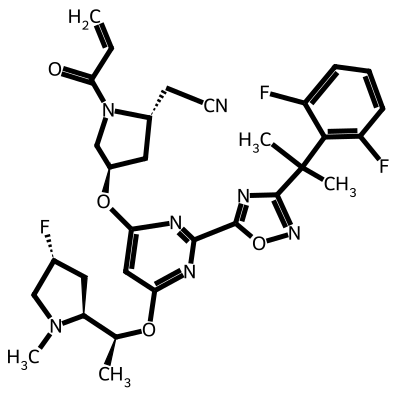 C=CC(=O)N1C[C@H](Oc2cc(O[C@@H](C)[C@@H]3C[C@@H](F)CN3C)nc(-c3nc(C(C)(C)c4c(F)cccc4F)no3)n2)C[C@H]1CC#N